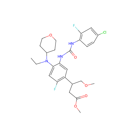 CCN(c1cc(F)c(C(COC)CC(=O)OC)cc1NC(=O)Nc1ccc(Cl)cc1F)C1CCOCC1